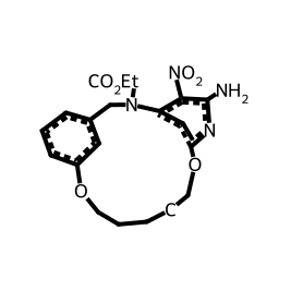 CCOC(=O)N1Cc2cccc(c2)OCCCCCOc2cc1c([N+](=O)[O-])c(N)n2